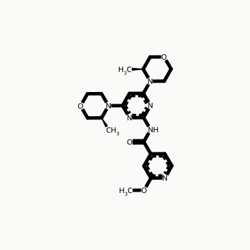 COc1cc(C(=O)Nc2nc(N3CCOC[C@@H]3C)cc(N3CCOC[C@@H]3C)n2)ccn1